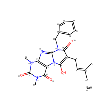 CC(C)=CCc1c(O)n2c3c(=O)n(C)c(=O)n(C)c3nc2n(Cc2ccccc2)c1=O.[NaH]